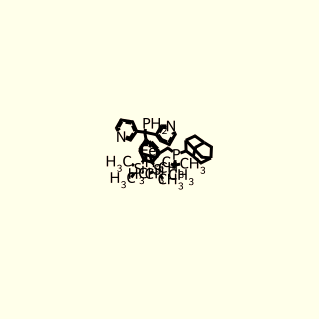 CC(C)(C)P(C[C]12[C]3(C(P)(c4cccnc4)c4cccnc4)[CH]4[C]5([Si](C)(C)C)[C]1([Si](C)(C)C)[Fe]42351678[CH]2[CH]1[CH]6[CH]7[CH]28)C1C2CC3CC(C2)CC1C3